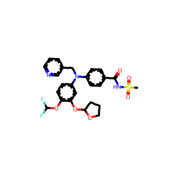 CS(=O)(=O)NC(=O)c1ccc(N(Cc2cccnc2)c2ccc(OC(F)F)c(OC3CCCO3)c2)cc1